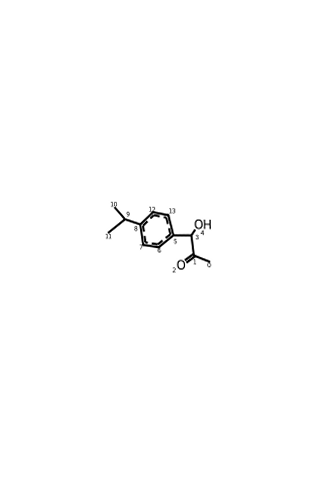 CC(=O)C(O)c1ccc(C(C)C)cc1